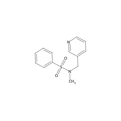 CN(Cc1cccnc1)S(=O)(=O)c1[c]cccc1